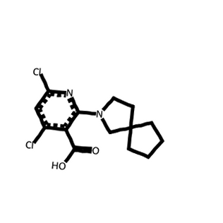 O=C(O)c1c(Cl)cc(Cl)nc1N1CCC2(CCCC2)C1